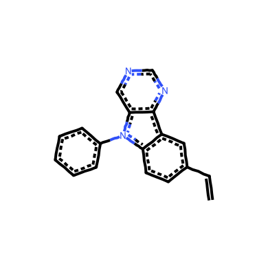 C=Cc1ccc2c(c1)c1ncncc1n2-c1ccccc1